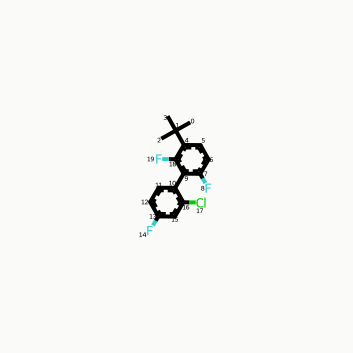 CC(C)(C)c1ccc(F)c(-c2ccc(F)cc2Cl)c1F